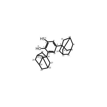 Oc1c(S)cc(C23CC4CC(CC(C4)C2)C3)cc1C12CC3CC(CC(C3)C1)C2